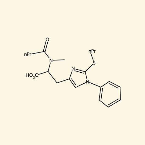 CCCSc1nc(CC(C(=O)O)N(C)C(=O)CCC)cn1-c1ccccc1